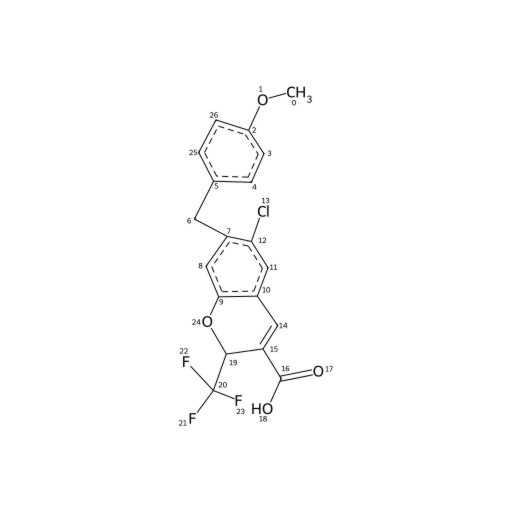 COc1ccc(Cc2cc3c(cc2Cl)C=C(C(=O)O)C(C(F)(F)F)O3)cc1